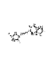 Cc1nc(C)c(C#Cc2ccn3nccc3n2)s1